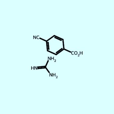 N#Cc1ccc(C(=O)O)cc1.N=C(N)N